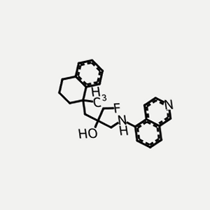 CC1(CC(O)(CF)CNc2cccc3cnccc23)CCCc2ccccc21